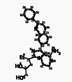 CCC(CC(O)CO)c1nc(-c2ccc3ccc(-c4ccccc4)nc3c2)c2c(N)nccn12